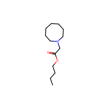 CCCCOC(=O)CN1CCCCCCC1